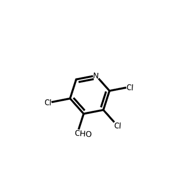 O=Cc1c(Cl)cnc(Cl)c1Cl